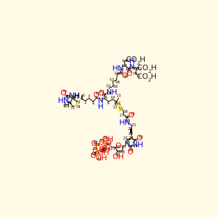 C=C(CCCC(=O)NC(CCC(C)(C)SSCCC(=O)NCC#Cc1cn(C2CC(O)C(COP(=O)(O)OP(=O)(O)OP(=O)(O)O)O2)c(=O)[nH]c1=O)C(=O)NCCCCCC(=O)NC(CC(=O)O)C(=O)NC(CC(=O)O)C(=O)O)[C@@H]1SC[C@@H]2NC(=O)N[C@@H]21